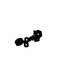 O=C(OCCn1ccc2cccnc21)C1CC2CCC1O2